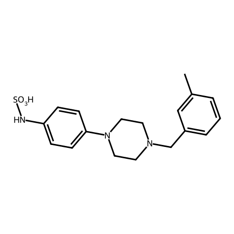 Cc1cccc(CN2CCN(c3ccc(NS(=O)(=O)O)cc3)CC2)c1